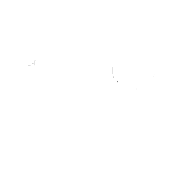 O=c1ccc2ccc(CBr)cc2[nH]1